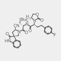 CN(C(=O)[C@H](CCc1ccc(F)cc1)N1CCOC1=O)[C@@H](CC(C)(C)C)C(=O)N1C[C@]2(C[C@H]1C#N)C(=O)Nc1ccccc12